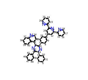 c1ccc(-c2nc(-c3ccc(-c4cc(-c5ccccn5)nc(-c5ccccn5)c4)cc3)c(-c3ccnc4ccccc34)nc2-c2ccccc2)cc1